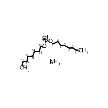 CCCCCCCCO[PH](=O)OCCCCCCCC.N